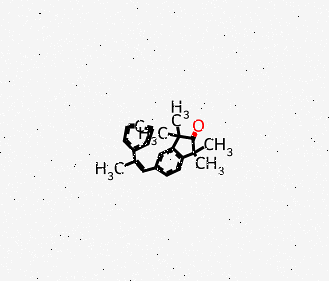 CC(=Cc1ccc2c(c1)C(C)(C)C(=O)C2(C)C)c1ccccc1